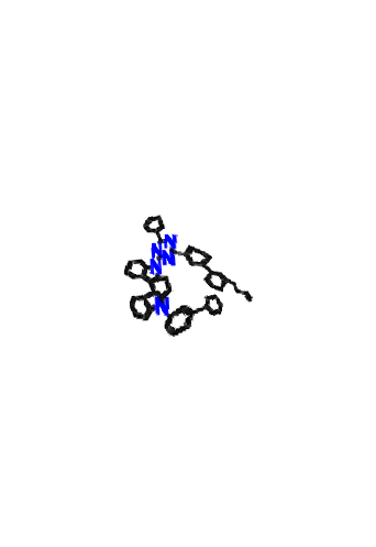 CCCCc1cccc(-c2cccc(-c3nc(-c4ccccc4)nc(-n4c5ccccc5c5c6c7ccccc7n(-c7cccc(-c8ccccc8)c7)c6ccc54)n3)c2)c1